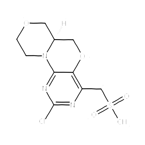 CS(=O)(=O)Cc1nc(Cl)nc2c1OC[C@@H]1COCCN21